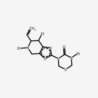 C=CC1C(CC)c2nc(N3COCN(CC)C3=O)sc2CN1CC